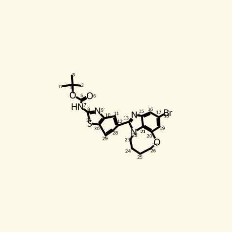 CC(C)(C)OC(=O)Nc1nc2cc(-c3nc4cc(Br)cc5c4n3CCCCO5)ccc2s1